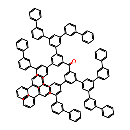 O=C(c1cc(-c2cc(-c3cccc(-c4ccccc4)c3)cc(-c3cccc(-c4ccccc4)c3)c2)cc(-c2cc(-c3cccc(-c4ccccc4)c3)cc(-c3cccc(-c4ccccc4)c3)c2)c1)c1cc(-c2cc(-c3cccc(-c4ccccc4)c3)cc(-c3cccc(-c4ccccc4)c3)c2)cc(-c2cc(-c3cccc(-c4ccccc4)c3)cc(-c3cccc(-c4ccccc4)c3)c2)c1